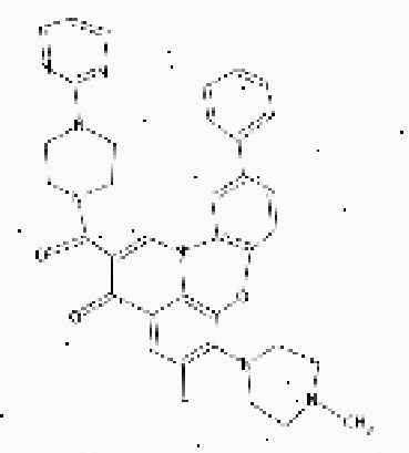 CN1CCN(c2c(F)cc3c(=O)c(C(=O)N4CCN(c5ncccn5)CC4)cn4c3c2Oc2ccc(-c3ccccc3)cc2-4)CC1